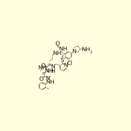 Cc1ccccc1NN(C)C(=O)[C@H](CN)NC(=O)[C@H](CCCN)NCc1cccnc1Sc1c(Cl)cc(N2CCC(N)C2)cc1CNC=O